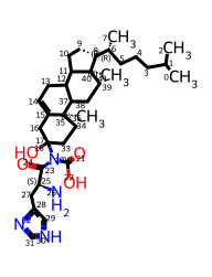 CC(C)CCC[C@@H](C)[C@H]1CCC2C3CC=C4CC(O)(N(C(=O)O)C(=O)[C@@H](N)Cc5c[nH]cn5)CC[C@]4(C)C3CC[C@@]21C